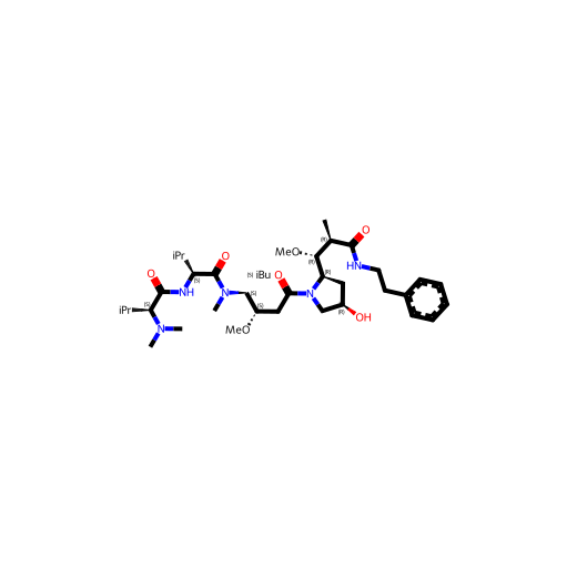 CC[C@H](C)[C@@H]([C@H](CC(=O)N1C[C@H](O)C[C@@H]1[C@H](OC)[C@@H](C)C(=O)NCCc1ccccc1)OC)N(C)C(=O)[C@@H](NC(=O)[C@H](C(C)C)N(C)C)C(C)C